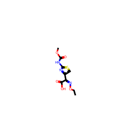 CCON=C(C(=O)O)c1csc(NC(=O)OC)n1